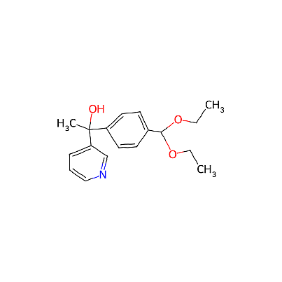 CCOC(OCC)c1ccc(C(C)(O)c2cccnc2)cc1